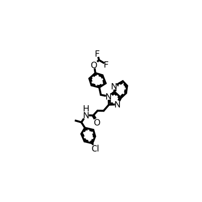 CC(NC(=O)CCc1nc2cccnc2n1Cc1ccc(OC(F)F)cc1)c1ccc(Cl)cc1